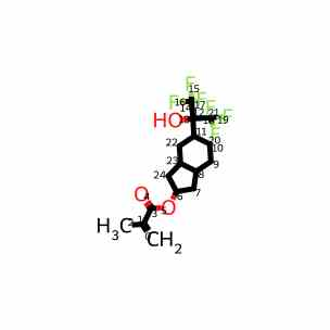 C=C(C)C(=O)OC1CC2CCC(C(O)(C(F)(F)F)C(F)(F)F)CC2C1